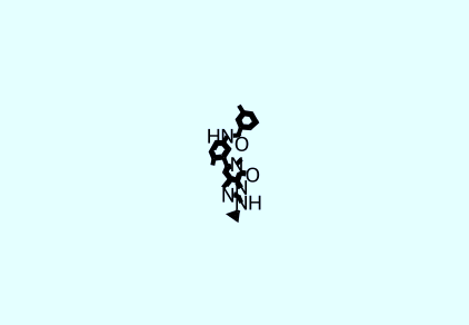 Cc1cccc(C(=O)Nc2ccc(C)c(-c3cc4cnc(NC5CC5)nc4c(=O)n3C)c2)c1